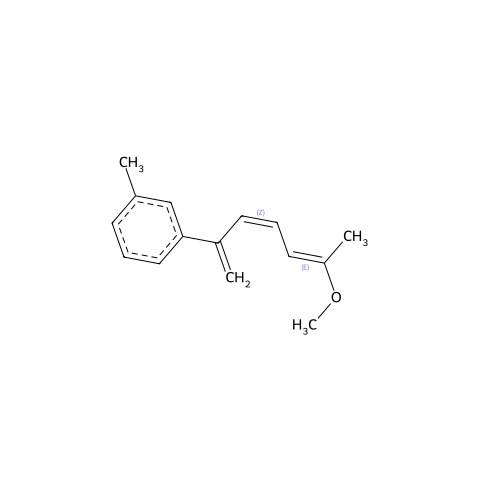 C=C(/C=C\C=C(/C)OC)c1cccc(C)c1